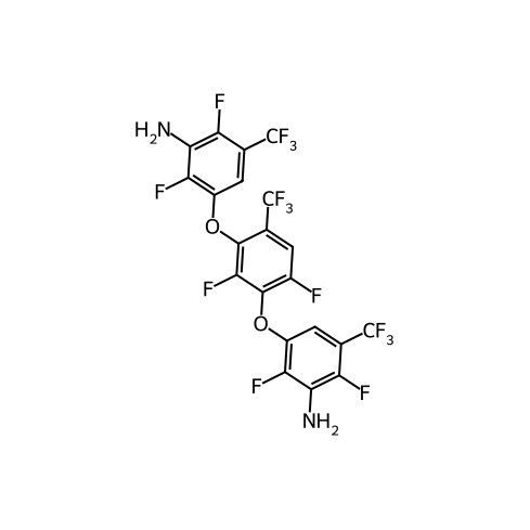 Nc1c(F)c(Oc2c(F)cc(C(F)(F)F)c(Oc3cc(C(F)(F)F)c(F)c(N)c3F)c2F)cc(C(F)(F)F)c1F